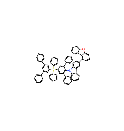 c1ccc(-c2cc(-c3ccccc3)cc(S(c3ccccc3)(c3ccccc3)c3cc(-c4ccccc4)c(-n4c5ccccc5c5cc(-c6cccc7oc8ccccc8c67)ccc54)c(-c4ccccc4)c3)c2)cc1